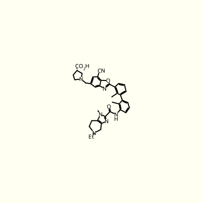 CCN1CCc2c(nc(C(=O)Nc3cccc(-c4cccc(-c5nc6cc(CN7CC[C@H](C(=O)O)C7)cc(C#N)c6o5)c4C)c3C)n2C)C1